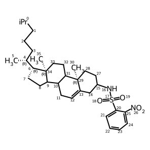 CC(C)CCC[C@@H](C)[C@H]1CCC2C3CC=C4CC(NS(=O)(=O)c5ccccc5[N+](=O)[O-])CC[C@]4(C)C3CC[C@@]21C